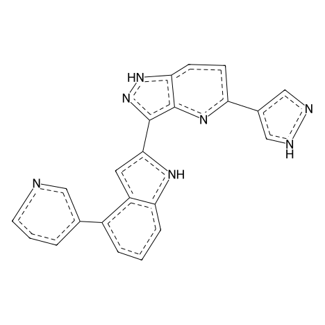 c1cncc(-c2cccc3[nH]c(-c4n[nH]c5ccc(-c6cn[nH]c6)nc45)cc23)c1